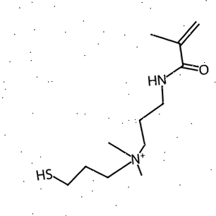 C=C(C)C(=O)NCCC[N+](C)(C)CCCS